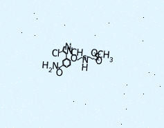 Cn1ncc(Cl)c1-c1cc(C(N)=O)ccc1OCCNCCS(C)(=O)=O